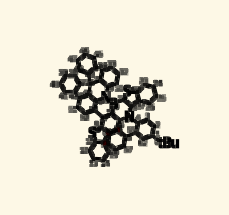 CC(C)(C)c1ccc(N2c3cc4c(sc5ccccc54)c4c3B(c3sc5ccccc5c32)N2c3ccccc3C(c3ccccc3)(c3ccccc3)c3cccc-4c32)c(-c2ccccc2)c1